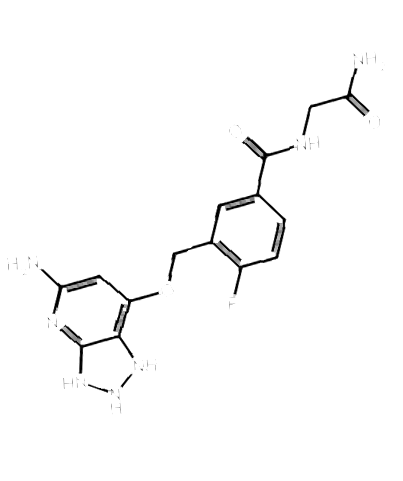 NC(=O)CNC(=O)c1ccc(F)c(COc2cc(N)nc3c2NNN3)c1